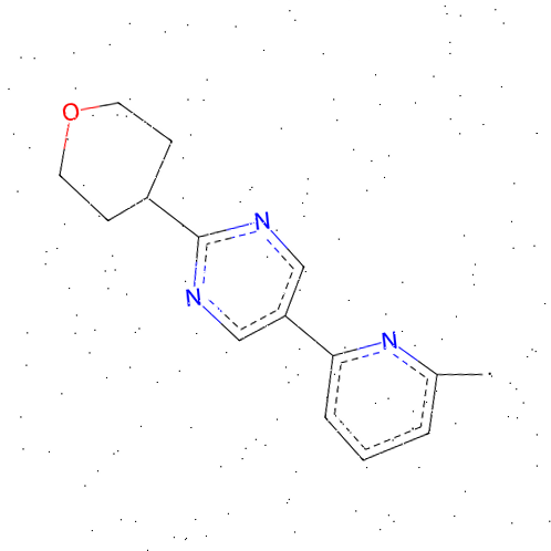 [CH2]c1cccc(-c2cnc(C3CCOCC3)nc2)n1